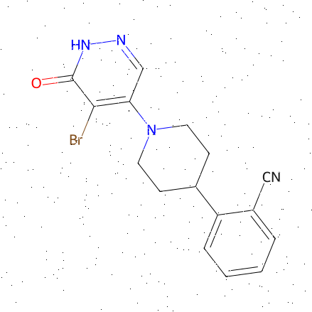 N#Cc1ccccc1C1CCN(c2cn[nH]c(=O)c2Br)CC1